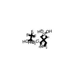 C=CC1([C@H](N)C(=O)O)CS(O)(O)C1.O=C(O)C(F)(F)F